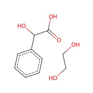 O=C(O)C(O)c1ccccc1.OCCO